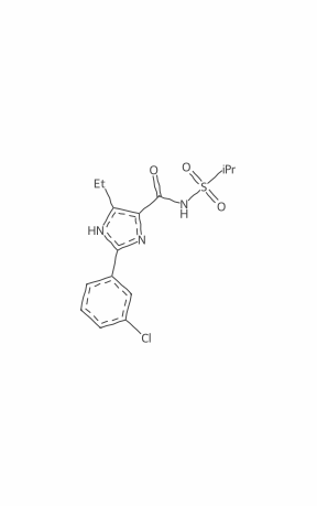 CCc1[nH]c(-c2cccc(Cl)c2)nc1C(=O)NS(=O)(=O)C(C)C